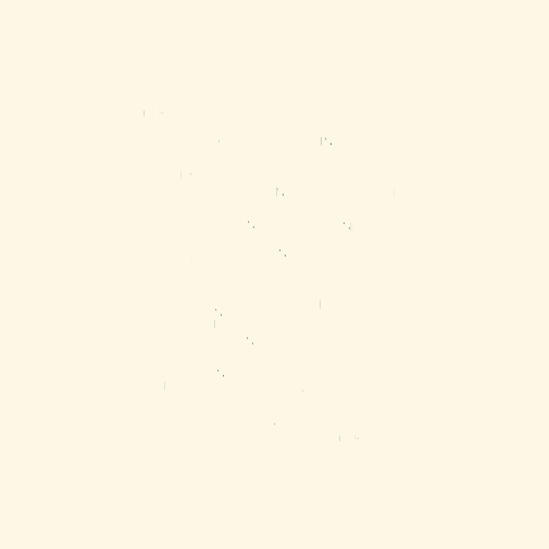 CCCCCCCCCCCCOc1c(C)c2ccc(-c3c4[nH]cc(C)c4c(-c4ccc5c(OCCCCCCCCCCCC)c(C)c6ccc(C)nc6c5n4)c4[nH]cc(C)c34)nc2c2nc(-c3c4[nH]cc(C)c4c(C)c4[nH]cc(C)c34)ccc12